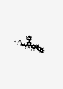 C=N/C=C\C=C(/C)c1cc(-c2cccnc2)cc(-c2ccc3c4c(oc3c2)C2SC4c3ccccc32)c1